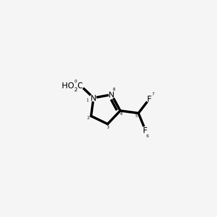 O=C(O)N1CCC(C(F)F)=N1